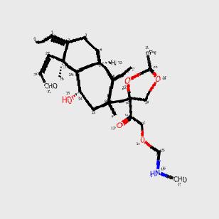 C/C=C1/CC[C@H]2C(C)C(C)(C3(C(=O)COCNC=O)COC(CCC)O3)C[C@H](O)C2[C@@]1(C)/C=C\C=O